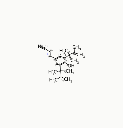 CC(C)C(C)(C)c1cc(/C=C/C#N)cc(C(C)(C)C(C)C)c1O